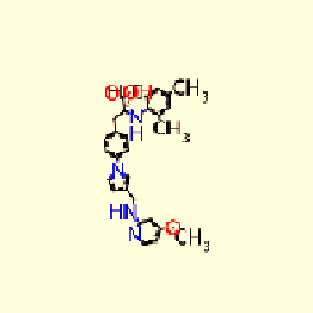 COc1ccnc(NCc2ccn(-c3ccc(CC(Nc4c(C)cc(C)cc4C)C(=O)O)cc3)c2)c1